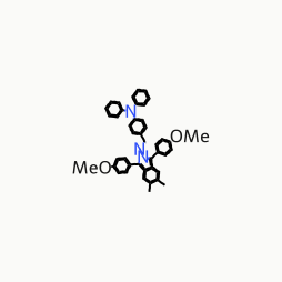 COc1ccc(-c2c3cc(C)c(C)cc3c(-c3ccc(OC)cc3)n2N=Cc2ccc(N(c3ccccc3)c3ccccc3)cc2)cc1